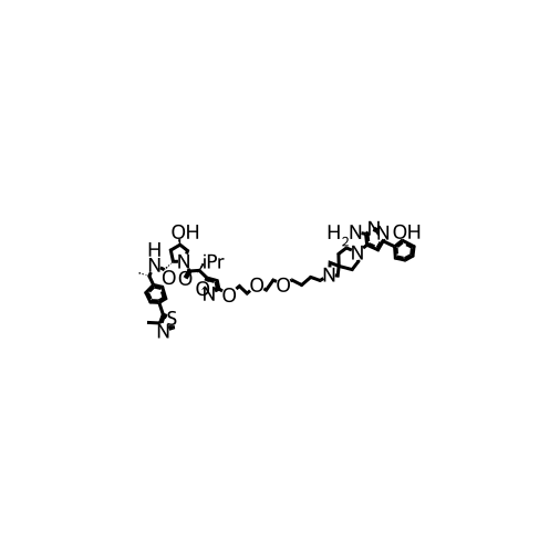 Cc1ncsc1-c1ccc([C@H](C)NC(=O)[C@@H]2C[C@@H](O)CN2C(=O)[C@H](c2cc(OCCOCCOCCCCN3CC4(CCN(c5cc(-c6ccccc6O)nnc5N)CC4)C3)no2)C(C)C)cc1